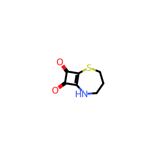 O=c1c2c(c1=O)SCCCN2